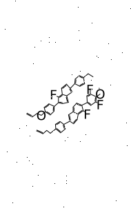 C=CCCc1ccc(-c2ccc3c(F)c(-c4cc(F)c(OC)c(F)c4)ccc3c2)cc1.C=CCOc1ccc(-c2ccc3cc(-c4ccc(CC)cc4)ccc3c2F)cc1